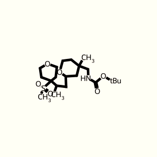 CC(CC1CC(C)(CNC(=O)OC(C)(C)C)CCO1)C1(S(C)(=O)=O)CCOCC1